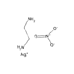 NCCN.O=[N+]([O-])[O-].[Ag+]